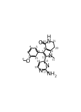 COc1cccc(-c2c3c(n(C)c2-c2ccnc(N)n2)CCNC3=O)c1